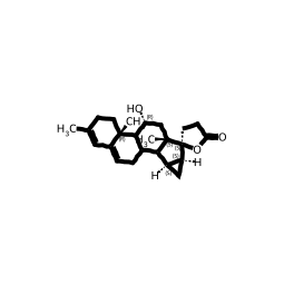 CC1=CC2=CCC3C([C@H](O)C[C@@]4(C)C3[C@@H]3C[C@@H]3[C@@]43CCC(=O)O3)[C@@]2(C)CC1